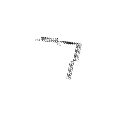 Cl.Cl.Cl.Cl.Cl.Cl.Cl.Cl.Cl.Cl.Cl.Cl.Cl.Cl.Cl.Cl.Cl.Cl.N.N.N.N.N.N.N.N.N.N.N.N.N.N.N.N.N.N